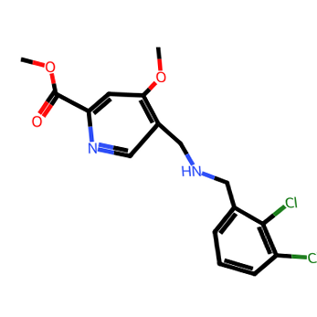 COC(=O)c1cc(OC)c(CNCc2cccc(Cl)c2Cl)cn1